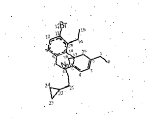 CCC1=CC=C2C3Cc4ccc(Br)c(CC)c4C2(CCN3CC2CC2)C1